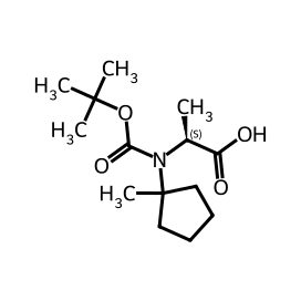 C[C@@H](C(=O)O)N(C(=O)OC(C)(C)C)C1(C)CCCC1